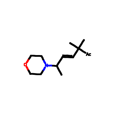 CC(=O)C(C)(C)/C=C/C(C)N1CCOCC1